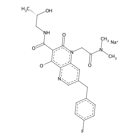 C[C@H](O)CNC(=O)c1c([O-])c2ncc(Cc3ccc(F)cc3)cc2n(CC(=O)N(C)C)c1=O.[Na+]